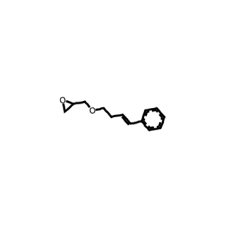 C(=Cc1ccccc1)CCOCC1CO1